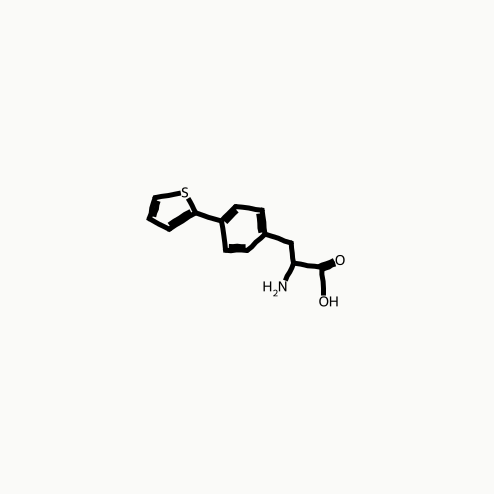 NC(Cc1ccc(-c2cccs2)cc1)C(=O)O